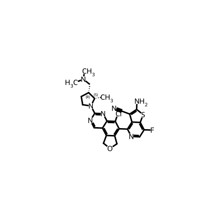 C[C@H]1[C@@H](CN(C)C)CCN1c1ncc2c3c(c(-c4ncc(F)c5sc(N)c(C#N)c45)c(Cl)c2n1)COC3